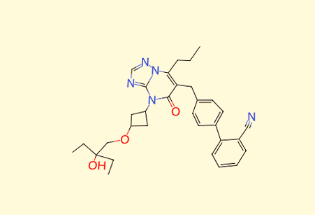 CCCc1c(Cc2ccc(-c3ccccc3C#N)cc2)c(=O)n(C2CC(OCC(O)(CC)CC)C2)c2ncnn12